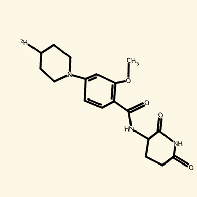 [2H]C1CCN(c2ccc(C(=O)NC3CCC(=O)NC3=O)c(OC)c2)CC1